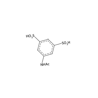 CC(=O)Nc1cc(S(=O)(=O)O)[c]c(S(=O)(=O)O)c1